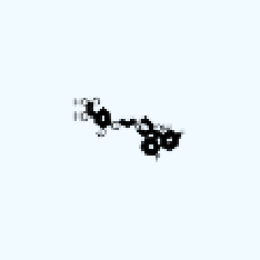 COc1cc(C(O)C(=O)O)ccc1OCCCN1CCC(C(O)(c2cccc(F)c2)c2cccc(F)c2)CC1